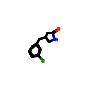 O=C1CC(Cc2cccc(Cl)c2)CN1